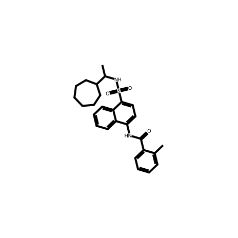 Cc1ccccc1C(=O)Nc1ccc(S(=O)(=O)NC(C)C2CCCCCC2)c2ccccc12